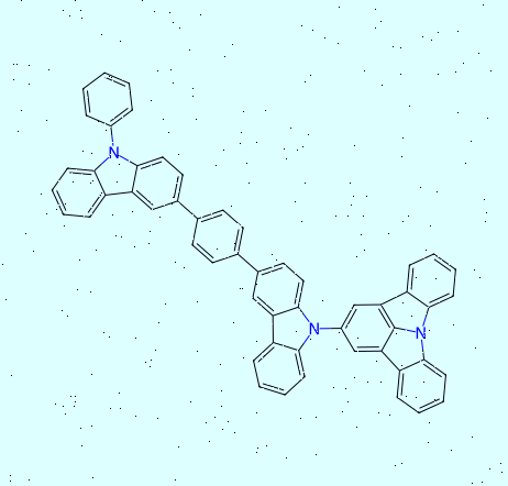 c1ccc(-n2c3ccccc3c3cc(-c4ccc(-c5ccc6c(c5)c5ccccc5n6-c5cc6c7ccccc7n7c8ccccc8c(c5)c67)cc4)ccc32)cc1